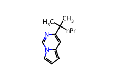 CCCC(C)(C)c1cc2cccn2cn1